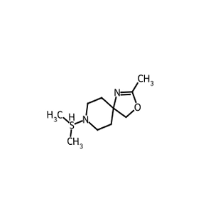 CC1=NC2(CCN([SH](C)C)CC2)CO1